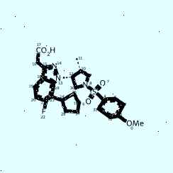 COc1ccc(S(=O)(=O)N2C[C@@H](C)[C@@H](n3nc(CC(=O)O)c4ccc(F)c(C5CCCC5)c43)C2)cc1